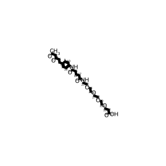 CC(=O)CC(=O)CCc1ccc(NC(=O)CCCC(=O)NCCOCCOCCOCCOCCC(=O)O)cc1